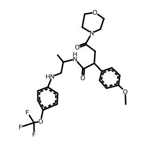 COc1ccc(C(CC(=O)N2CCOCC2)C(=O)NC(C)CNc2ccc(OC(F)(F)F)cc2)cc1